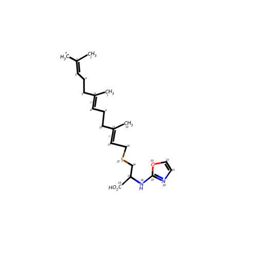 CC(C)=CCC/C(C)=C/CC/C(C)=C/CSCC(Nc1ncco1)C(=O)O